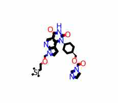 C[Si](C)(C)CCOCn1ccc2c1ncc1c(=O)[nH]c(=O)n([C@H]3CC[C@H](COC(=O)n4ccnc4)CC3)c12